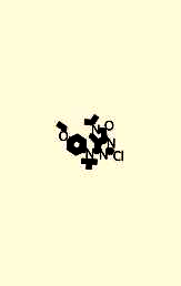 CCOc1ccc(N(c2nc(Cl)nc3c2CN(C(C)C)C3=O)C(C)(C)C)cc1